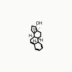 C[C@]12CC[C@H]3[C@@H](CC=C4C=CC=C[C@@H]43)[C@@H]1CC[C@@H]2O